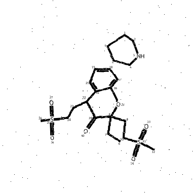 C1CCNCC1.CCC1(CCS(C)(=O)=O)Oc2ccccc2C(CCS(C)(=O)=O)C1=O